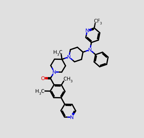 Cc1cc(-c2ccncc2)cc(C)c1C(=O)N1CCC(C)(N2CCC(N(c3ccccc3)c3ccc(C(F)(F)F)nc3)CC2)CC1